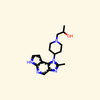 Cc1nc2cnc3[nH]ccc3c2n1C1CCN(CC(C)O)CC1